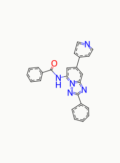 O=C(Nc1cc(-c2ccncc2)cc2nc(-c3ccccc3)nn12)c1ccccc1